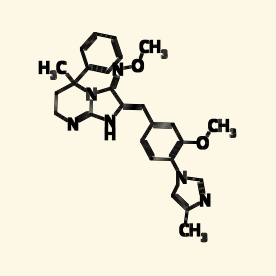 CO/N=c1\c(=C\c2ccc(-n3cnc(C)c3)c(OC)c2)[nH]c2n1C(C)(c1ccccc1)CCN=2